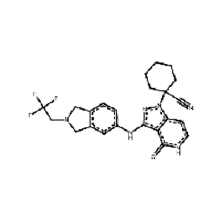 N#CC1(n2nc(Nc3ccc4c(c3)CN(CC(F)(F)F)C4)c3c(=O)[nH]ccc32)CCCCC1